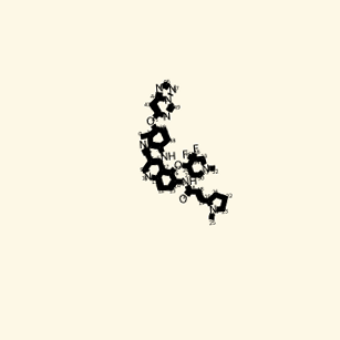 Cc1cc(Nc2c(C#N)cnc3ccc(NC(=O)/C=C/C4CCCN4C)c(OC4CCN(C)CC4(F)F)c23)ccc1Oc1cc2ncnn2cn1